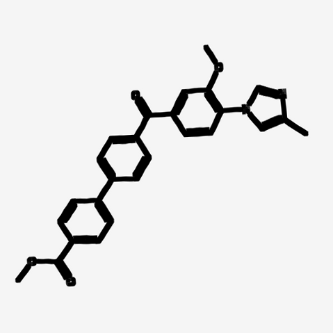 COC(=O)c1ccc(-c2ccc(C(=O)c3ccc(-n4cnc(C)c4)c(OC)c3)cc2)cc1